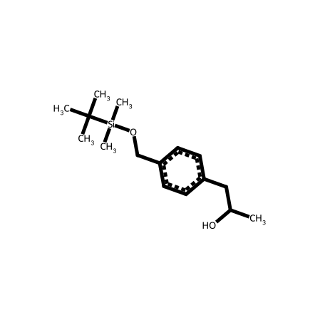 CC(O)Cc1ccc(CO[Si](C)(C)C(C)(C)C)cc1